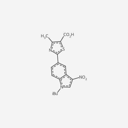 CCC(C)n1cc([N+](=O)[O-])c2cc(-c3nc(C)c(C(=O)O)s3)ccc21